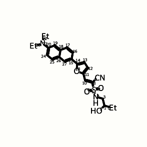 CCC(O)CNS(=O)(=O)/C(C#N)=C/c1ccc(-c2ccc3cc(N(CC)CC)ccc3c2)o1